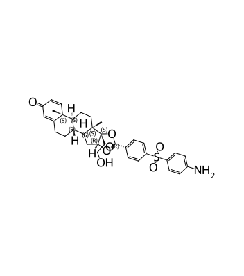 C[C@]12C=CC(=O)C=C1CC[C@@H]1[C@@H]2CC[C@@]2(C)[C@H]1C[C@H]1O[C@@H](c3ccc(S(=O)(=O)c4ccc(N)cc4)cc3)O[C@]12C(=O)CO